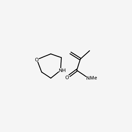 C1COCCN1.C=C(C)C(=O)NC